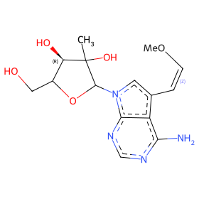 CO/C=C\c1cn(C2OC(CO)[C@@H](O)C2(C)O)c2ncnc(N)c12